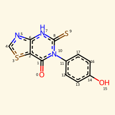 O=c1c2scnc2[nH]c(=S)n1-c1ccc(O)cc1